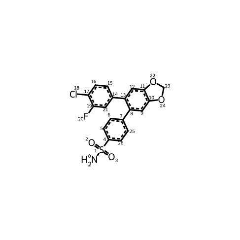 NS(=O)(=O)c1ccc(-c2cc3c(cc2-c2ccc(Cl)c(F)c2)OCO3)cc1